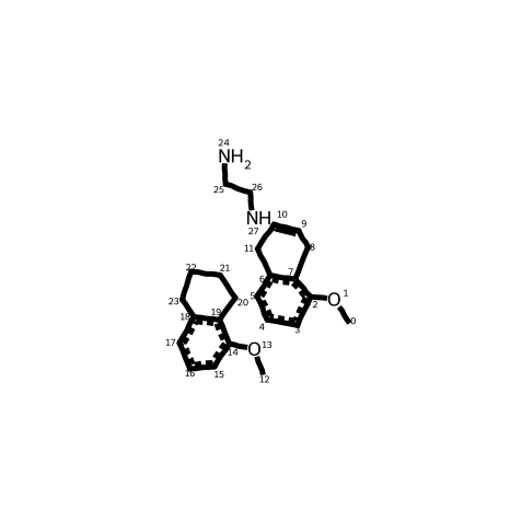 COc1cccc2c1CC=CC2.COc1cccc2c1CCCC2.NCCN